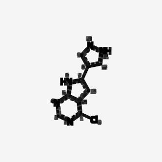 Clc1ncnc2[nH]c(-c3cn[nH]c3)cc12